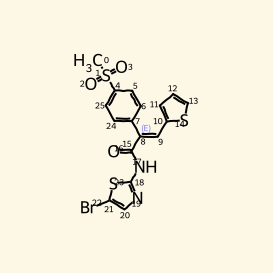 CS(=O)(=O)c1ccc(/C(=C\c2cccs2)C(=O)Nc2ncc(Br)s2)cc1